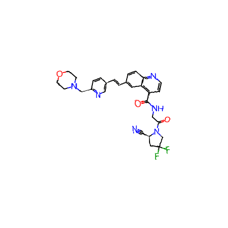 N#C[C@@H]1CC(F)(F)CN1C(=O)CNC(=O)c1ccnc2ccc(/C=C/c3ccc(CN4CCOCC4)nc3)cc12